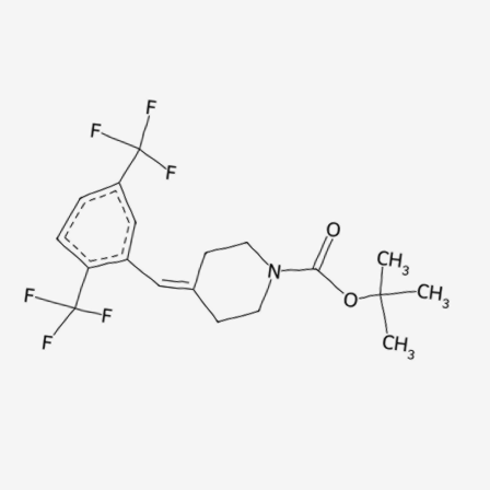 CC(C)(C)OC(=O)N1CCC(=Cc2cc(C(F)(F)F)ccc2C(F)(F)F)CC1